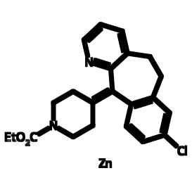 CCOC(=O)N1CCC(=C2c3ccc(Cl)cc3CCc3cccnc32)CC1.[Zn]